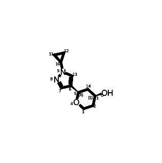 O[C@H]1CCO[C@@H](c2cnn(C3CC3)c2)C1